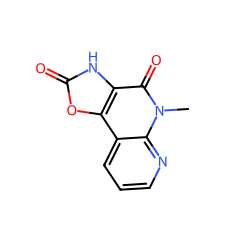 Cn1c(=O)c2[nH]c(=O)oc2c2cccnc21